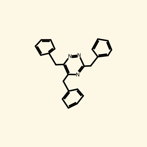 c1ccc(Cc2nnc(Cc3ccccc3)c(Cc3ccccc3)n2)cc1